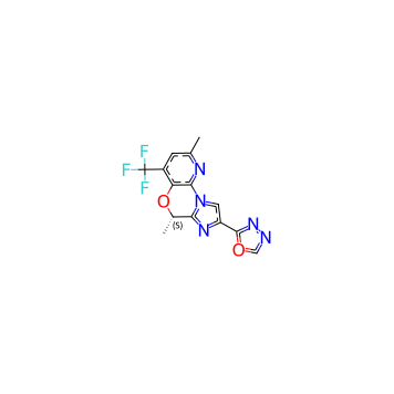 Cc1cc(C(F)(F)F)c2c(n1)-n1cc(-c3nnco3)nc1[C@H](C)O2